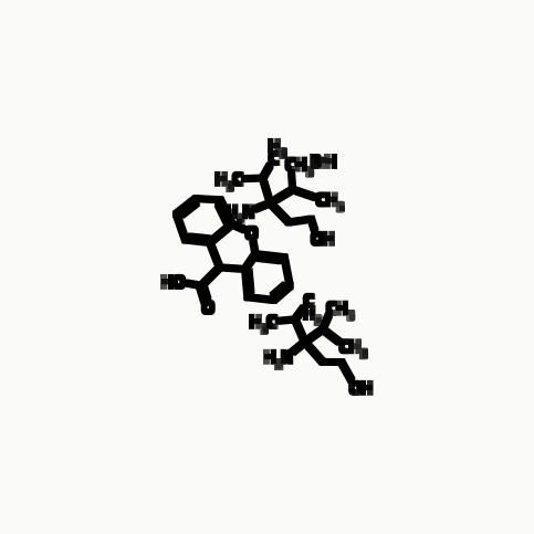 Br.CC(C)C(N)(CCO)C(C)C.CC(C)C(N)(CCO)C(C)C.O=C(O)C1c2ccccc2Oc2ccccc21